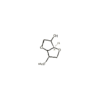 COC1CO[C@@H]2C(O)COC12